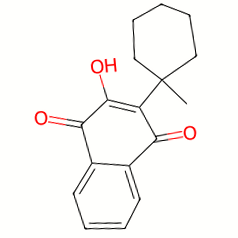 CC1(C2=C(O)C(=O)c3ccccc3C2=O)CCCCC1